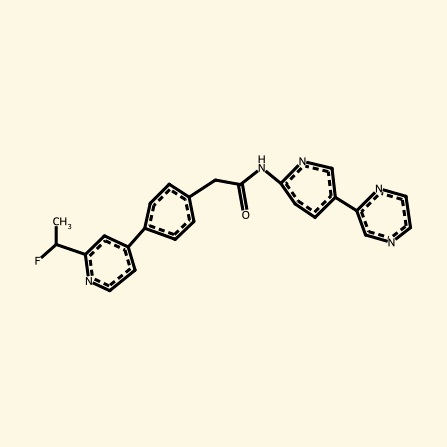 CC(F)c1cc(-c2ccc(CC(=O)Nc3ccc(-c4cnccn4)cn3)cc2)ccn1